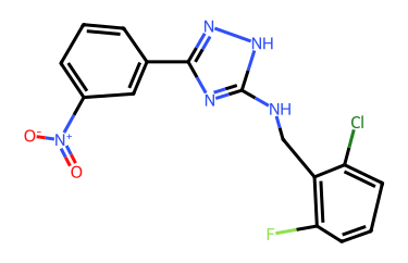 O=[N+]([O-])c1cccc(-c2n[nH]c(NCc3c(F)cccc3Cl)n2)c1